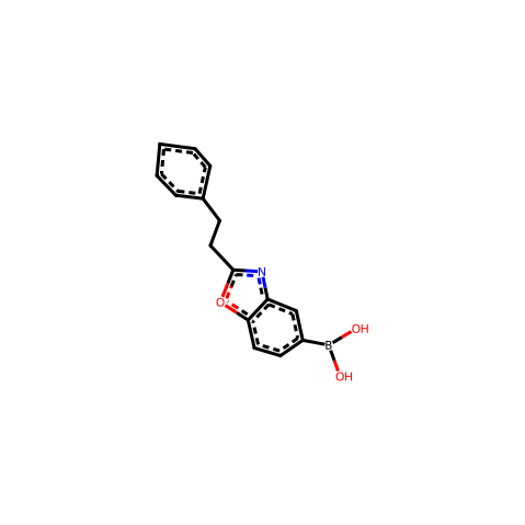 OB(O)c1ccc2oc(CCc3ccccc3)nc2c1